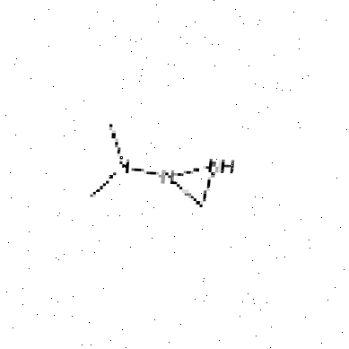 CN(C)N1CN1